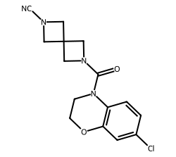 N#CN1CC2(C1)CN(C(=O)N1CCOc3cc(Cl)ccc31)C2